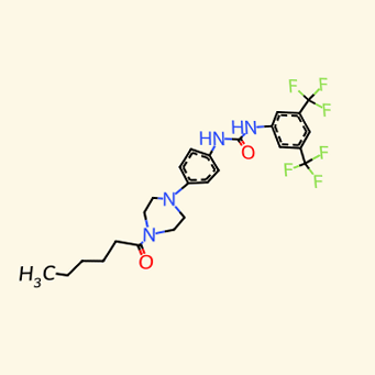 CCCCCC(=O)N1CCN(c2ccc(NC(=O)Nc3cc(C(F)(F)F)cc(C(F)(F)F)c3)cc2)CC1